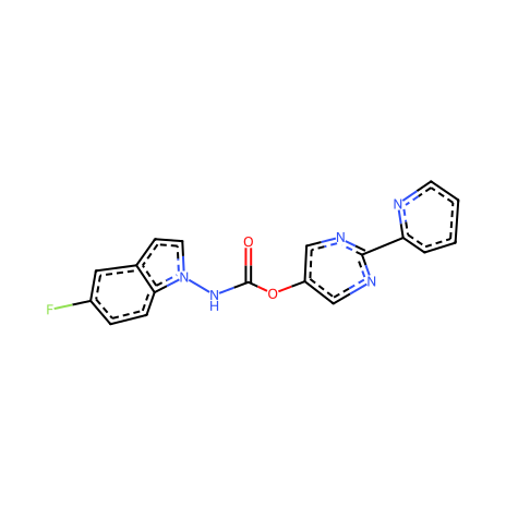 O=C(Nn1ccc2cc(F)ccc21)Oc1cnc(-c2ccccn2)nc1